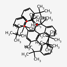 CC(C)(C)c1cccc(C(C)(C)C)c1Oc1c(-c2c(C(C)(C)C)cccc2C(C)(C)C)cc(O)c(-c2c(C(C)(C)C)cccc2C(C)(C)C)c1-c1c(C(C)(C)C)cccc1C(C)(C)C